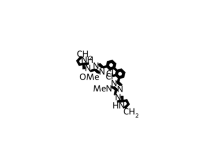 C=C1CCC2(CN(Cc3ncc(-c4cccc(-c5cccc(-c6cnc(CN7CC8(CCC(=C)N8)C7)c(OC)n6)c5Cl)c4Cl)nc3NC)C2)N1